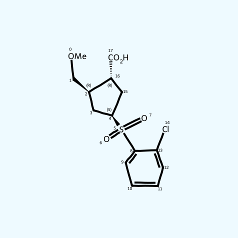 COC[C@@H]1C[C@H](S(=O)(=O)c2ccccc2Cl)C[C@H]1C(=O)O